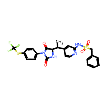 CC(c1ccnc(NS(=O)(=O)Cc2ccccc2)c1)C1NC(=O)N(c2ccc(SC(F)(F)F)cc2)C1=O